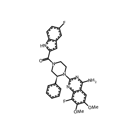 COc1cc2c(N)nc(N3CCN(C(=O)c4cc5cc(F)ccc5[nH]4)C[C@@H]3c3ccccc3)nc2c(F)c1OC